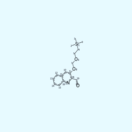 C[Si](C)(C)CCOCOc1cc2ccccc2nc1C=O